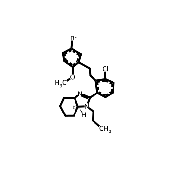 CCCN1C(c2cccc(Cl)c2CCc2cc(Br)ccc2OC)=NC2CCCC[C@@H]21